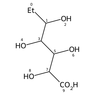 CCC(O)C(O)C(O)C(O)C(=O)O